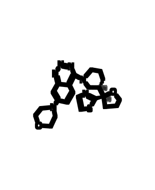 c1csc([C@]2([C@H]3CCCN(c4nnnc5cc(N6CCOCC6)ccc45)C3)CCCO2)n1